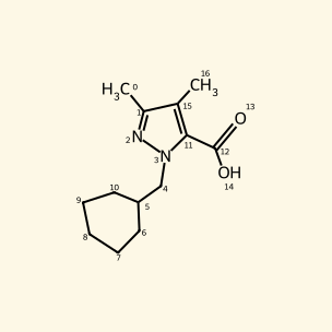 Cc1nn(CC2CCCCC2)c(C(=O)O)c1C